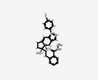 CC(C)(C)NC(=O)c1ccccc1CC[C@]1(O)CCC2=Cc3c(cnn3-c3ccc(F)cc3)C[C@@]21C